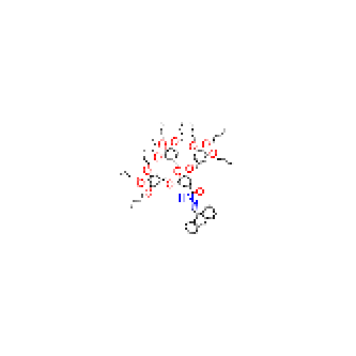 CCCCOc1cc(COc2cc(C(=O)N/N=C/c3c4ccccc4cc4ccccc34)cc(OCc3cc(OCCCC)c(OCCCC)c(OCCCC)c3)c2OCc2cc(OCCCC)c(OCCCC)c(OCCCC)c2)cc(OCCCC)c1OCCCC